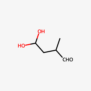 CC(C=O)CC(O)O